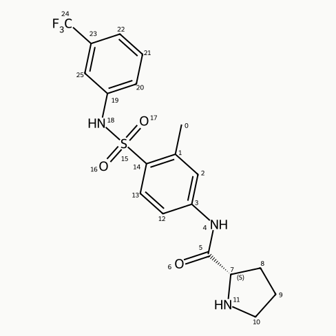 Cc1cc(NC(=O)[C@@H]2CCCN2)ccc1S(=O)(=O)Nc1cccc(C(F)(F)F)c1